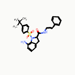 CC(C)(C)c1ccc(S(=O)(=O)N2c3c(N)cccc3CC2C(=O)NCCc2ccccc2)cc1